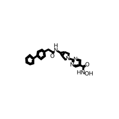 O=C(Cc1ccc(-c2ccccc2)cc1)NC1C2CN(c3ncc(C(=O)NO)cn3)CC21